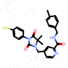 Cc1ccc(CNC(=O)c2cc(CN3C(=O)N(c4ccc(S)cc4)C(=O)C3(C)C)ccn2)cc1